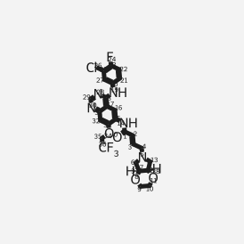 O=C(/C=C/CN1C[C@@H]2OCCO[C@H]2C1)Nc1cc2c(Nc3ccc(F)c(Cl)c3)ncnc2cc1OCC(F)(F)F